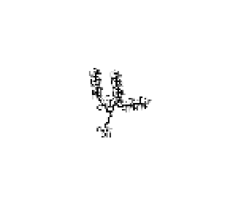 O=C(O)NCCCCC(CCC(CC(F)(F)C(F)(F)C(F)(F)C(F)(F)C(F)(F)C(F)(F)C(F)(F)F)(CC(F)(F)C(F)(F)C(F)(F)C(F)(F)C(F)(F)C(F)(F)C(F)(F)F)NC(=O)O)CNC(=O)OCC(F)(F)C(F)(F)C(F)(F)C(F)(F)C(F)(F)C(F)(F)C(F)(F)F